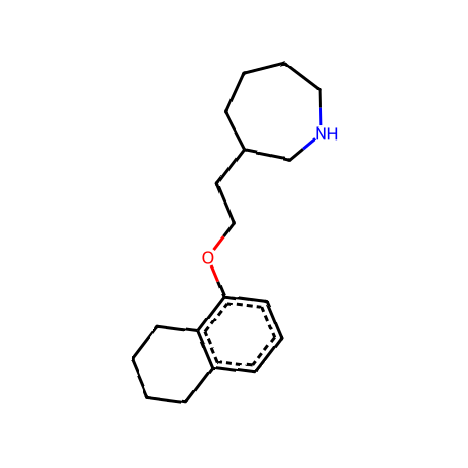 c1cc2c(c(OCCC3CCCCNC3)c1)CCCC2